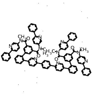 CN(C(=O)c1cc(C(=O)N(C)c2ccc(-c3ccccc3)nc2)cc(-c2ccccc2-c2ccc(-c3ccc(-c4ccc(-c5ccccc5-c5cc(C(=O)N(C)c6ccc(-c7ccccc7)nc6)cc(C(=O)N(C)c6ccc(-c7ccccc7)nc6)c5)cn4)cc3)nc2)c1)c1ccc(-c2ccccc2)nc1